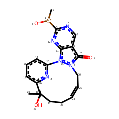 C[S+]([O-])c1ncc2c(=O)n3n(c2n1)-c1cccc(n1)C(C)(O)CCC=CC3